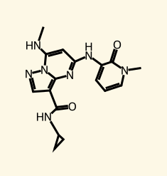 CNc1cc(Nc2cccn(C)c2=O)nc2c(C(=O)NC3CC3)cnn12